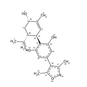 C=C(C)[C@@H]1C[C@H](O)C(C)=C[C@H]1c1c(O)cc(-c2c(C)noc2C)cc1O